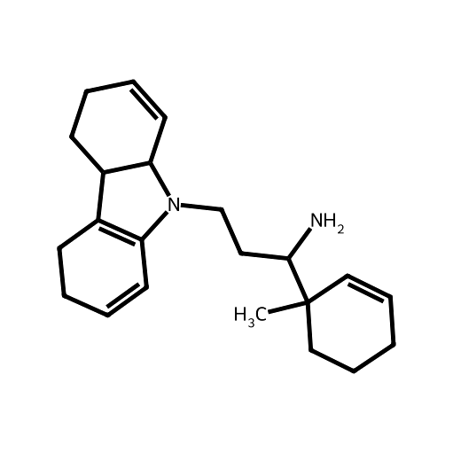 CC1(C(N)CCN2C3=C(CCC=C3)C3CCC=CC32)C=CCCC1